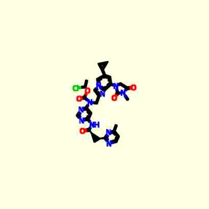 Cc1ccnc([C@H]2C[C@@H]2C(=O)Nc2cc(N(Cc3cn4cc(C5CC5)cc(N5CC(=O)N(C)C5=O)c4n3)C(=O)OC(C)Cl)ncn2)n1